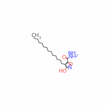 CCCCCCCCCCCCCCc1c(O)noc1C(=O)NN